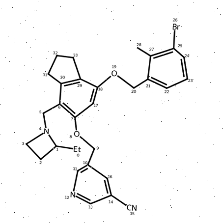 CCC1CCN1Cc1c(OCc2cncc(C#N)c2)cc(OCc2cccc(Br)c2C)c2c1CCC2